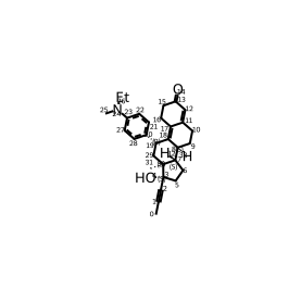 CC#C[C@]1(O)CC[C@H]2[C@@H]3CCC4=CC(=O)CCC4=C3[C@@H](c3ccc(N(C)CC)cc3)C[C@@]21C